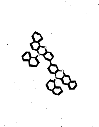 c1ccc2cc3c(cc2c1)Oc1cc(-c2ccc4c(c2)N(c2cccc5ccccc25)c2ccc5ccccc5c2O4)ccc1N3c1cccc2ccccc12